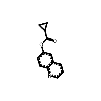 O=C(Oc1ccc2ncccc2c1)C1CC1